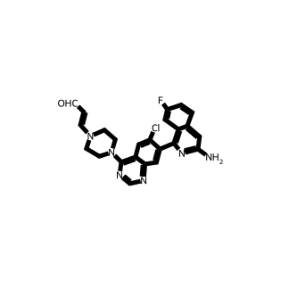 Nc1cc2ccc(F)cc2c(-c2cc3ncnc(N4CCN(C=CC=O)CC4)c3cc2Cl)n1